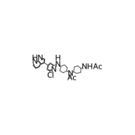 CC(=O)NC1CCC(N(C(C)=O)C2CCC(Nc3cc(-c4c[nH]c5ncccc45)cc(Cl)n3)CC2)CC1